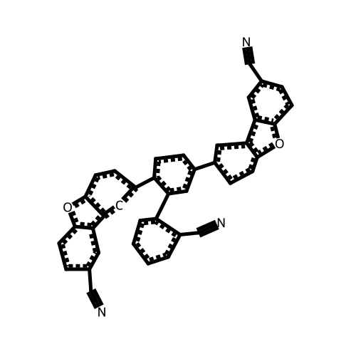 N#Cc1ccc2oc3ccc(-c4ccc(-c5ccc6oc7ccc(C#N)cc7c6c5)c(-c5ccccc5C#N)c4)cc3c2c1